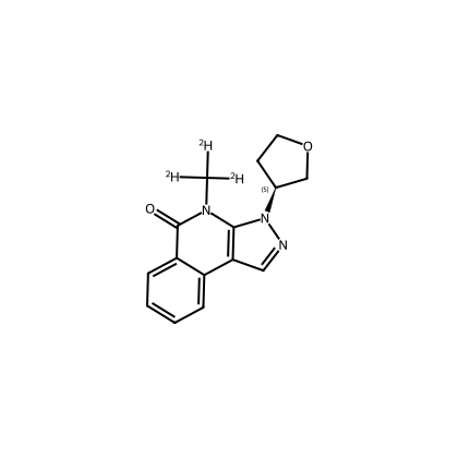 [2H]C([2H])([2H])n1c(=O)c2ccccc2c2cnn([C@H]3CCOC3)c21